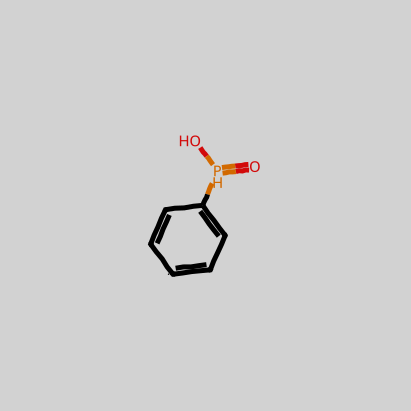 O=[PH](O)c1cc[c]cc1